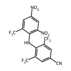 N#Cc1cc(C(F)(F)F)c(Nc2c([N+](=O)[O-])cc([N+](=O)[O-])cc2C(F)(F)F)c(C(F)(F)F)c1